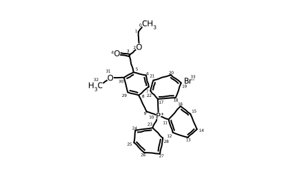 CCOC(=O)c1ccc(C[P+](c2ccccc2)(c2ccccc2)c2ccccc2)cc1OC.[Br-]